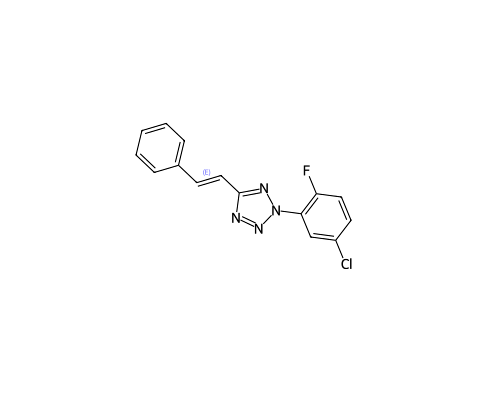 Fc1ccc(Cl)cc1-n1nnc(/C=C/c2ccccc2)n1